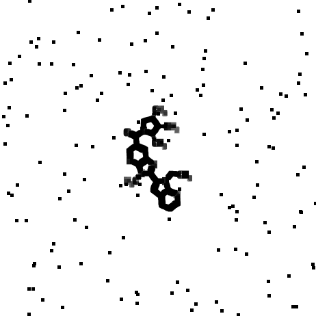 CCn1c(-c2nc3cc(C(=O)N4C[C@H](C)[C@H](N)[C@@H]4C)cnc3n2C)cc2cccnc21